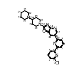 Clc1cccc(-c2cccc(-c3cnc4nc(N5CCC(N6CCCCC6)CC5)oc4c3)n2)n1